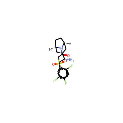 N[C@H](Cc1cc(F)c(F)cc1F)[C@H]1C[C@H]2CC[C@@H](C1)N2C(=O)CS(=O)(=O)C1CCCC1